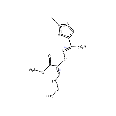 BOC(=O)/C(=C\BOC=O)O/N=C(\C(=O)O)c1csc(C)n1